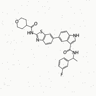 CC(NC(=O)c1c[nH]c2ccc(-c3ccc4nc(NC(=O)C5CCOCC5)sc4c3)cc12)c1cccc(F)c1